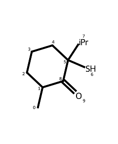 CC1CCCC(S)(C(C)C)C1=O